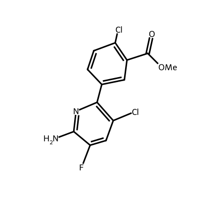 COC(=O)c1cc(-c2nc(N)c(F)cc2Cl)ccc1Cl